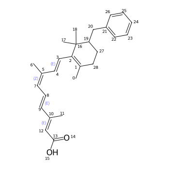 CC1=C(/C=C/C(C)=C\C=C\C(C)=C\C(=O)O)C(C)(C)C(Cc2ccccc2)CC1